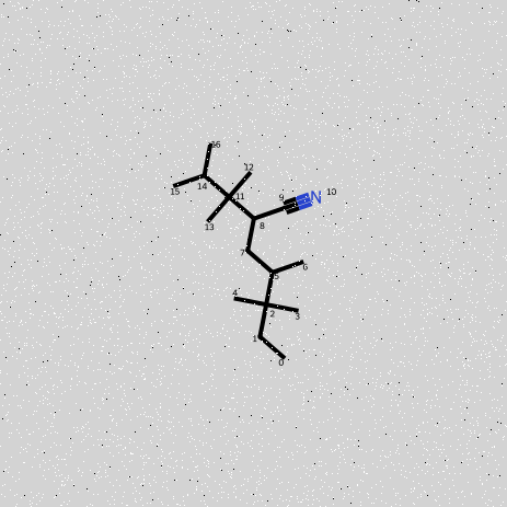 CCC(C)(C)C(C)CC(C#N)C(C)(C)C(C)C